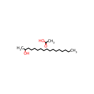 CC(=O)O.CCCCCCCCCCCCCCCC(C)O